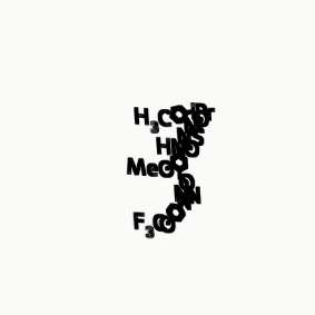 COc1cc(NC(=O)N=C2SCC(=O)N2c2cc(C)ccc2C(C)C)ccc1COc1ncn(-c2ccc(OC(F)(F)F)cc2)n1